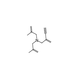 C#CC(=C)CN(CC(=C)C)CC(=C)C